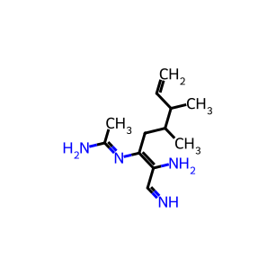 C=CC(C)C(C)CC(/N=C(\C)N)=C(\N)C=N